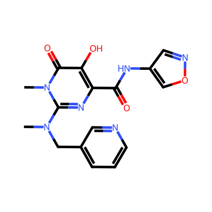 CN(Cc1cccnc1)c1nc(C(=O)Nc2cnoc2)c(O)c(=O)n1C